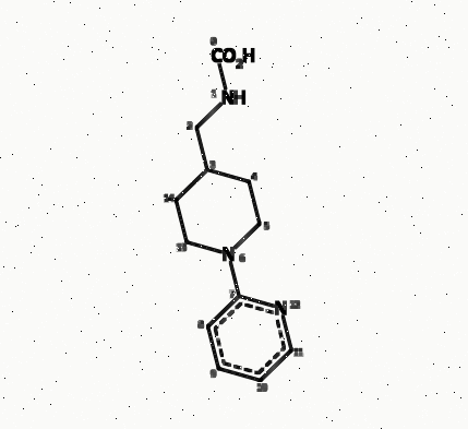 O=C(O)NCC1CCN(c2ccccn2)CC1